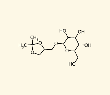 CC1(C)OCC(CO[C@@H]2OC(CO)[C@@H](O)C(O)C2O)O1